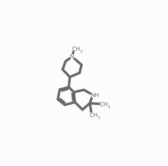 CN1CCC(c2cccc3c2CNC(C)(C)C3)CC1